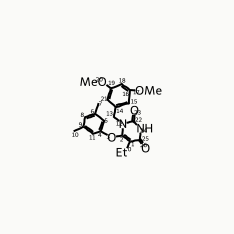 CCc1c(Oc2cc(C)cc(C)c2)n(Cc2cc(OC)cc(OC)c2)c(=O)[nH]c1=O